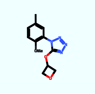 COc1ccc(C)cc1-n1nnnc1OC1COC1